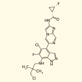 CC(C)(CCl)CNc1c(F)c(Cl)c(-c2cn3cc(NC(=O)[C@@H]4C[C@@H]4F)nc3cn2)c2cn[nH]c12